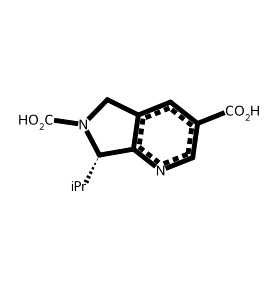 CC(C)[C@H]1c2ncc(C(=O)O)cc2CN1C(=O)O